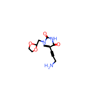 NCC#Cc1cn(CC2OCCO2)c(=O)[nH]c1=O